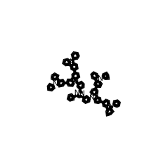 c1ccc(-c2cc(-c3cccc(-n4c5ccc(-c6ccc7c(c6)c6ccccc6n7-c6ccccc6)cc5c5cc(-c6ccc7c(c6)c6ccccc6n7-c6ccccc6)ccc54)c3)nc(-c3cccc(-n4c5ccc(-c6ccc7c(c6)c6ccccc6n7-c6ccccc6)cc5c5cc(-c6ccc7c(c6)c6ccccc6n7-c6ccccc6)ccc54)c3)n2)cc1